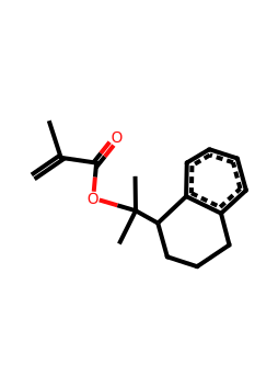 C=C(C)C(=O)OC(C)(C)C1CCCc2ccccc21